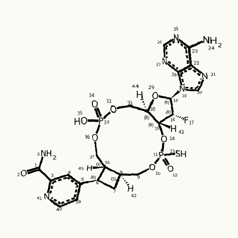 NC(=O)c1cc([C@@H]2C[C@@H]3COP(=O)(S)O[C@H]4[C@@H](F)[C@H](n5cnc6c(N)ncnc65)O[C@@H]4COP(=O)(O)OC[C@H]32)ccn1